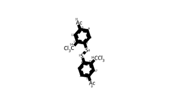 CC(=O)c1ccc(SSc2ccc(C(C)=O)cc2C(Cl)(Cl)Cl)c(C(Cl)(Cl)Cl)c1